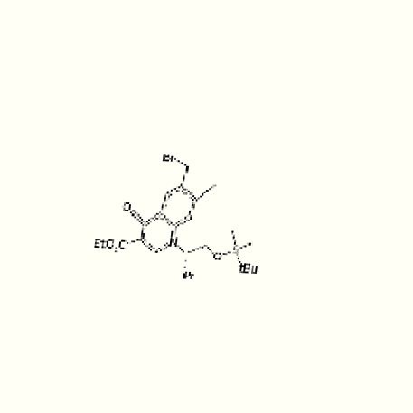 CCOC(=O)c1cn([C@H](CO[Si](C)(C)C(C)(C)C)C(C)C)c2cc(C)c(CBr)cc2c1=O